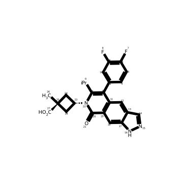 CC(C)c1c(-c2ccc(F)c(F)c2)c2cc3cn[nH]c3cc2c(=O)n1[C@H]1C[C@](C)(C(=O)O)C1